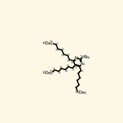 [CH2]CCCc1nc(CCCCCCCCCCCCCCCC)c(CCCCCCCCCCCCCCCC)c(CCCCCCCCCCCCCCCC)n1